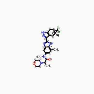 Cc1cc(N(C)C(=O)C(C)N2CCOCC2)cc2nc(-c3n[nH]c4c3C[C@@H]3C(F)(F)[C@]3(C)C4)[nH]c12